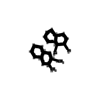 CCc1ccc2ccccc2c1CC.Cc1cc2ccccc2cc1C